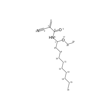 C=C(C#N)C(=O)NC(CCCCCCCCC)OCC